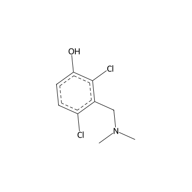 CN(C)Cc1c(Cl)ccc(O)c1Cl